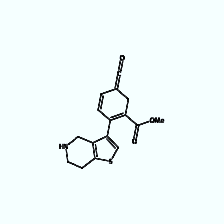 COC(=O)C1=C(c2csc3c2CNCC3)C=CC(=C=O)C1